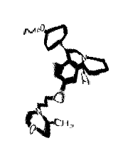 COc1ccc([C@H]2CN3CCC[C@@H]3c3cc(OCCCN4CCOC[C@@H]4C)ccc32)cc1